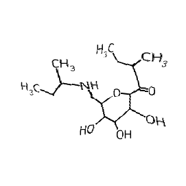 CCC(C)NCC1OC(C(=O)C(C)CC)C(O)C(O)C1O